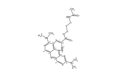 CC(=O)NCCCOC(=O)/C(C#N)=C/c1c(N(C)C)ccc2cc3ccc(N(C)C)cc3nc12